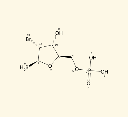 B[C@@H]1O[C@H](COP(=O)(O)O)[C@@H](O)[C@H]1Br